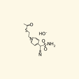 CC(=O)SCC[n+]1ccc(C(C#N)S(N)(=O)=O)cc1.[OH-]